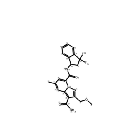 COCc1nn2c(C(=O)NC3CC(F)(F)c4ccccc43)cc(C)nc2c1C(N)=O